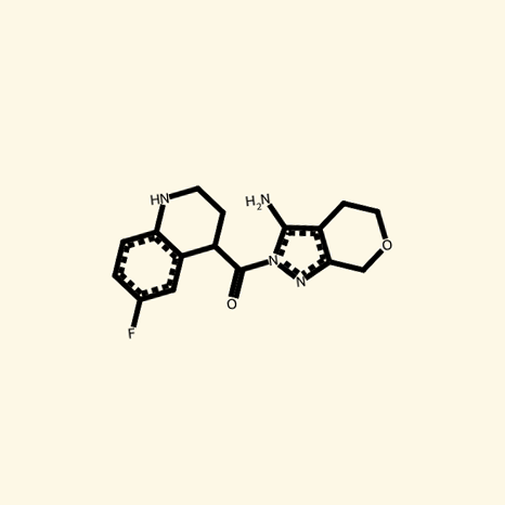 Nc1c2c(nn1C(=O)C1CCNc3ccc(F)cc31)COCC2